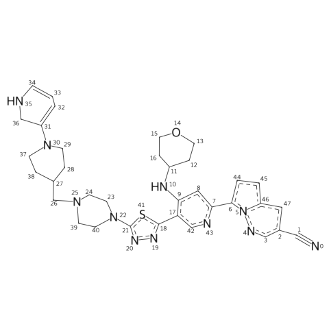 N#Cc1cnn2c(-c3cc(NC4CCOCC4)c(-c4nnc(N5CCN(CC6CCN(C7=CC=CNC7)CC6)CC5)s4)cn3)ccc2c1